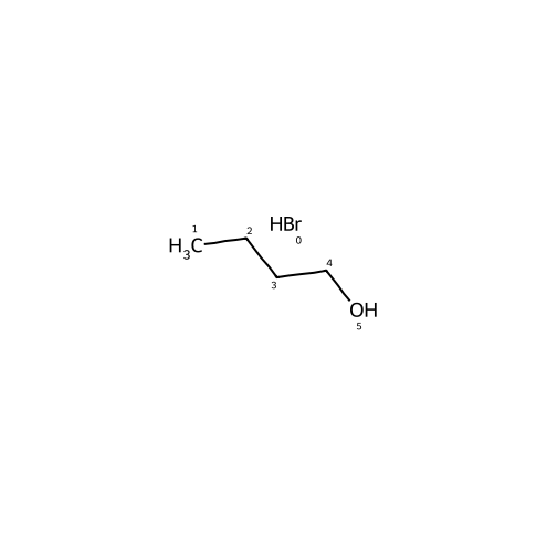 Br.CCCCO